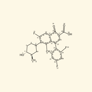 Cc1c(N2CC[C@@H](O)[C@H](C)C2)c(F)cc2c(=O)c(C(=O)O)cn(-c3ccc(F)cc3F)c12